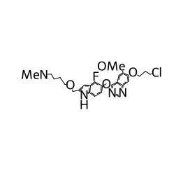 CNCCCCOCc1cc2c(F)c(Oc3ncnc4cc(OCCCCl)c(OC)cc34)ccc2[nH]1